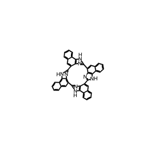 c1ccc2c(c1)cc1c3nc4c(cc5ccccc5c4[nH]3)c3nc4c(cc5ccccc5c4[nH]3)c3nc4c(cc5ccccc5c4[nH]3)c3nc1c2[nH]3